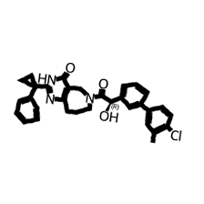 Cc1cc(-c2cccc([C@@H](O)C(=O)N3CCCc4nc(C5(c6ccccc6)CC5)[nH]c(=O)c4C3)c2)ccc1Cl